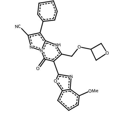 COc1cccc2oc(-c3c(COC4COC4)[nH]c4c(-c5ccccc5)c(C#N)nn4c3=O)nc12